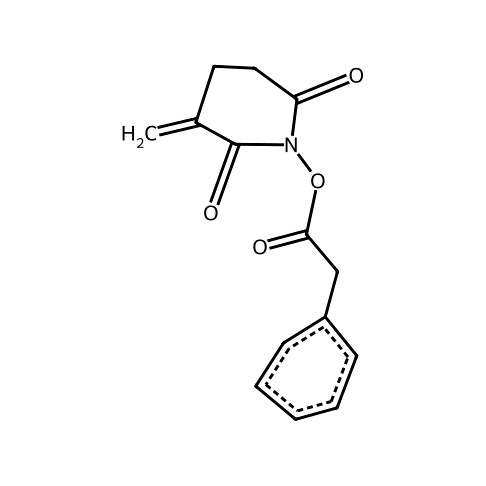 C=C1CCC(=O)N(OC(=O)Cc2ccccc2)C1=O